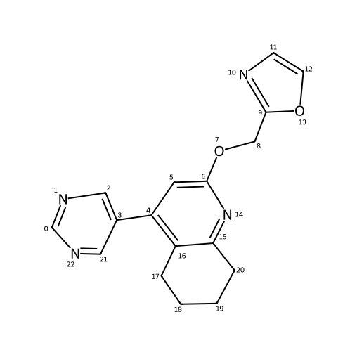 c1ncc(-c2cc(OCc3ncco3)nc3c2CCCC3)cn1